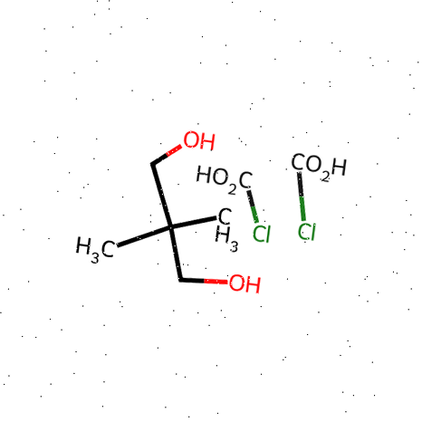 CC(C)(CO)CO.O=C(O)Cl.O=C(O)Cl